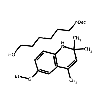 CCCCCCCCCCCCCCCCO.CCOc1ccc2c(c1)C(C)=CC(C)(C)N2